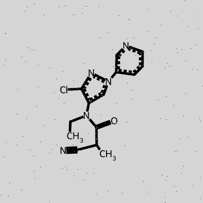 CCN(C(=O)C(C)C#N)c1cn(-c2cccnc2)nc1Cl